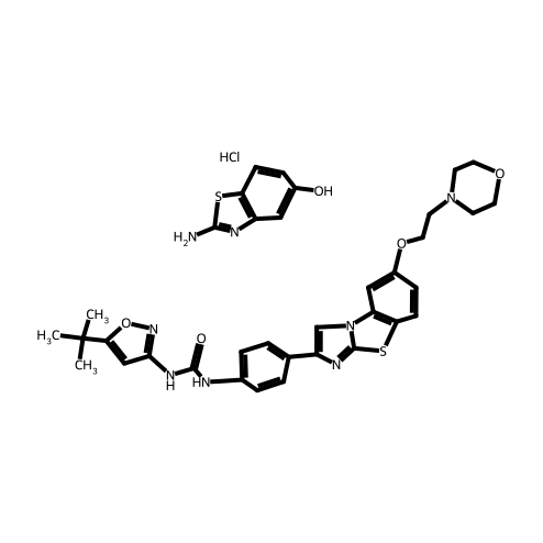 CC(C)(C)c1cc(NC(=O)Nc2ccc(-c3cn4c(n3)sc3ccc(OCCN5CCOCC5)cc34)cc2)no1.Cl.Nc1nc2cc(O)ccc2s1